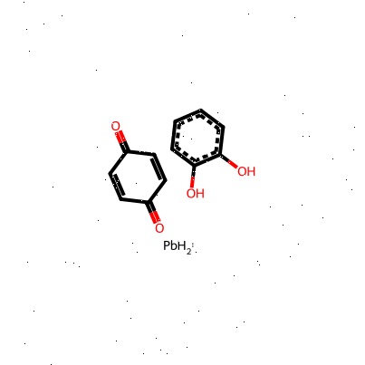 O=C1C=CC(=O)C=C1.Oc1ccccc1O.[PbH2]